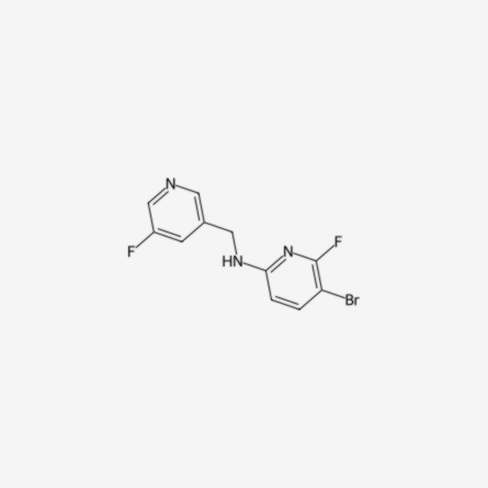 Fc1cncc(CNc2ccc(Br)c(F)n2)c1